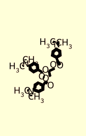 CN(C)c1ccc(C(=O)OCC(COC(=O)c2ccc(N(C)C)cc2)OC(=O)c2ccc(N(C)C)cc2)cc1